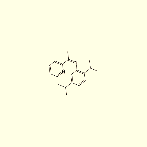 CC(=Nc1cc(C(C)C)ccc1C(C)C)c1ccccn1